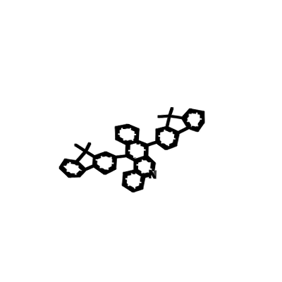 CC1(C)c2ccccc2-c2ccc(-c3c4ccccc4c(-c4ccc5c(c4)C(C)(C)c4ccccc4-5)c4c3cnc3ccccc34)cc21